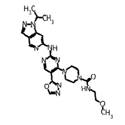 COCCNC(=O)N1CCN(c2nc(Nc3cc4c(cn3)cnn4C(C)C)ncc2-c2nnco2)CC1